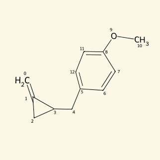 C=C1CC1Cc1ccc(OC)cc1